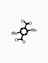 CC(C)(C)c1cc(C(=O)Cl)c(C(C)(C)C)cc1C(=O)Cl